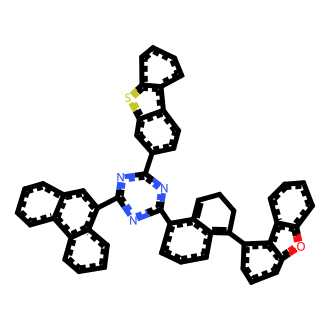 C1=c2c(-c3nc(-c4ccc5c(c4)sc4ccccc45)nc(-c4cc5ccccc5c5ccccc45)n3)cccc2=C(c2cccc3oc4ccccc4c23)CC1